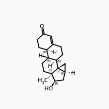 C[C@]12CC[C@H]3[C@@H](CCC4=CC(=O)CC[C@@H]43)[C@@]13C[C@H]3C[C@H]2O